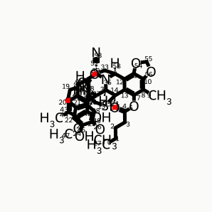 CCCCC(=O)Oc1c(C)c2c(c3c1[C@H]1SC[C@]4(NCCc5cc(O)c(OC)cc54)C(=O)OC[C@@H]3N3[C@@H]1C1NC(Cc4cc(C)c(OC)c(O)c41)[C@@H]3C#N)OCO2